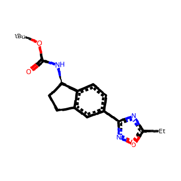 CCc1nc(-c2ccc3c(c2)CC[C@H]3NC(=O)OC(C)(C)C)no1